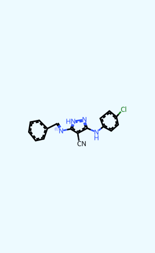 N#Cc1c(Nc2ccc(Cl)cc2)n[nH]c1/N=C/c1ccccc1